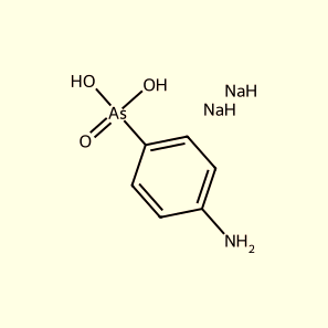 Nc1ccc([As](=O)(O)O)cc1.[NaH].[NaH]